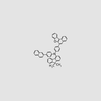 CC1(C)c2ccccc2-c2c(N(c3ccc(-c4ccc5ccccc5c4)cc3)c3ccc(-c4cc5ccccc5c5c4oc4ccccc45)cc3)cccc21